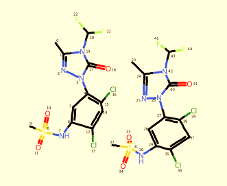 Cc1nn(-c2cc(NS(C)(=O)=O)c(Cl)cc2Cl)c(=O)n1C(F)F.Cc1nn(-c2cc(NS(C)(=O)=O)c(Cl)cc2Cl)c(=O)n1C(F)F